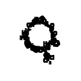 CC(C)C[C@H]1C(=O)N[C@@H](C2CCC2)C(=O)N(C)CC(=O)N(C)CC(=O)N(C)[C@@H](CC2CCCCC2)C(=O)N(C)CC(=O)N[C@@H](CCc2ccc(C(F)(F)F)c(Cl)c2)C(=O)N2CCC[C@H]2C(=O)NC2(CCCC2)C(=O)N(C)[C@@H](C(C)C)C(=O)N[C@H](C)CC(=O)N1C